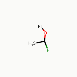 CCOC(F)[SiH2]